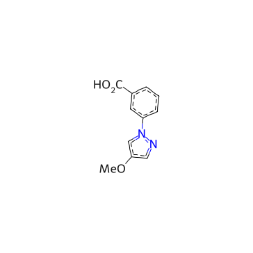 COc1cnn(-c2cccc(C(=O)O)c2)c1